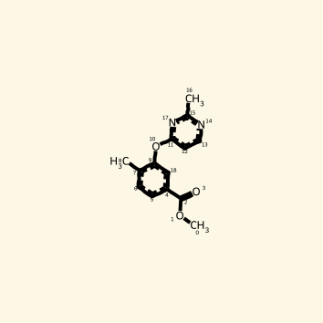 COC(=O)c1ccc(C)c(Oc2ccnc(C)n2)c1